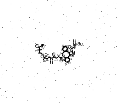 CCC(C)NCC(O)n1nnc2c1-c1ccccc1CN(C(=O)CCC(=O)NCCC(C)(CC)OCCC(C)(C)C(=O)C(C)C)c1ccccc1-2